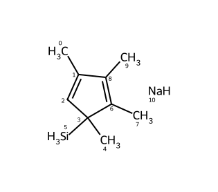 CC1=CC(C)([SiH3])C(C)=C1C.[NaH]